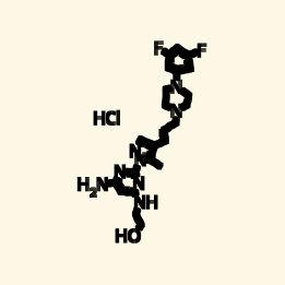 Cc1c(/C=C/CN2CCN(c3cc(F)cc(F)c3)CC2)cnn1-c1nc(N)cc(NCCO)n1.Cl